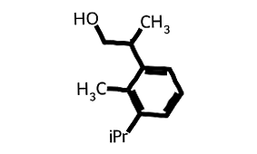 C[C](CO)c1cccc(C(C)C)c1C